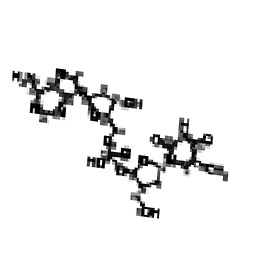 Cc1cn([C@@H]2C[C@H](CO)[C@@H](OP(=O)(O)OC[C@H]3O[C@@H](n4cnc5c(N)ncnc54)C[C@@H]3O)O2)c(=O)[nH]c1=O